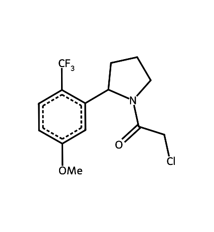 COc1ccc(C(F)(F)F)c(C2CCCN2C(=O)CCl)c1